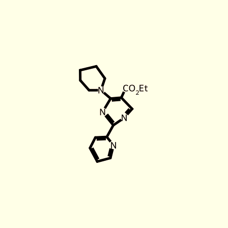 CCOC(=O)c1cnc(-c2ccccn2)nc1N1CCCCC1